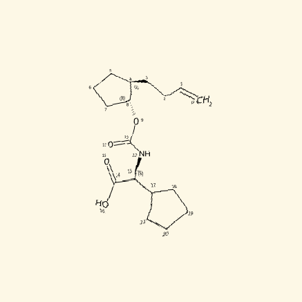 C=CCC[C@@H]1CCC[C@H]1OC(=O)N[C@H](C(=O)O)C1CCCC1